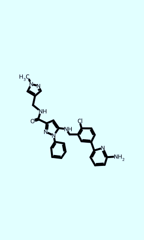 Cn1cc(CNC(=O)c2cc(NCc3cc(-c4cccc(N)n4)ccc3Cl)n(-c3ccccc3)n2)cn1